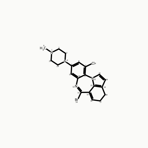 CN1CCN(c2cc(Cl)c3c(c2)N=C(Br)C2=CCCc4ccn-3c42)CC1